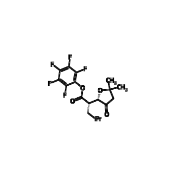 CC(C)C[C@H](C(=O)Oc1c(F)c(F)c(F)c(F)c1F)[C@@H]1OC(C)(C)CC1=O